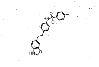 Cc1ccc(S(=O)(=O)Nc2ccc(CCc3ccc4c(c3)OCN4)cc2)cc1